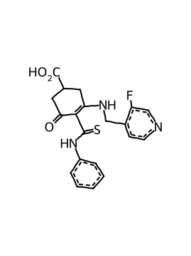 O=C1CC(C(=O)O)CC(NCc2ccncc2F)=C1C(=S)Nc1ccccc1